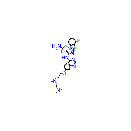 CN(C)CCN(C)CCCOc1ccc2c(NC3=C[N+](CC(N)=O)(c4cccc(F)c4F)N=N3)ncnc2c1